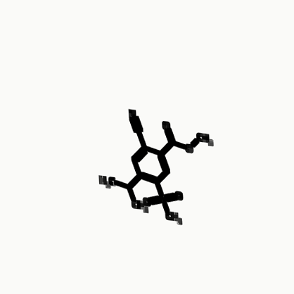 COC(=O)c1cc(S(C)(=O)=O)c(C(C)C)cc1C#N